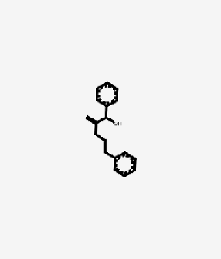 C=C(CCCc1ccccc1)C(O)c1ccccc1